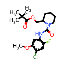 COc1cc(NC(=O)N2CCCCC2COC(=O)C(C)(C)C)c(F)cc1Cl